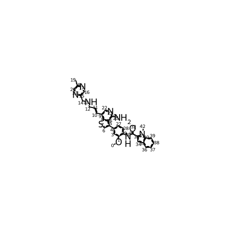 COc1cc(-c2csc3c(/C=C/CNCc4cnc(C)cn4)cnc(N)c23)ccc1NC(=O)c1cc2ccccc2n1C